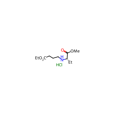 CCOC(=O)CCCN[C@@H](CC)C(=O)OC.Cl